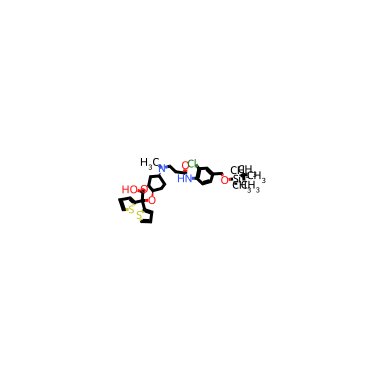 CN(CCC(=O)Nc1ccc(CO[Si](C)(C)C(C)(C)C)cc1Cl)[C@H]1CC[C@H](OC(C(=O)O)(c2cccs2)c2cccs2)CC1